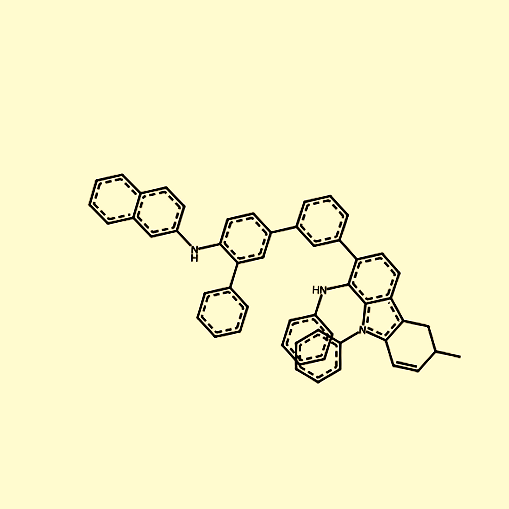 CC1C=Cc2c(c3ccc(-c4cccc(-c5ccc(Nc6ccc7ccccc7c6)c(-c6ccccc6)c5)c4)c(Nc4ccccc4)c3n2-c2ccccc2)C1